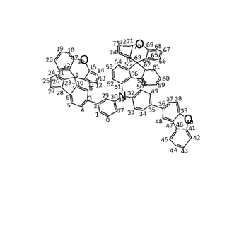 c1cc(-c2ccc3c(c2)C2(c4ccccc4Oc4ccccc42)c2ccccc2-3)cc(N(c2ccc(-c3ccc4oc5ccccc5c4c3)cc2)c2cccc3c2-c2ccccc2C32c3ccccc3Oc3ccccc32)c1